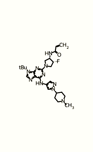 C=CC(=O)N[C@@H]1CN(c2nc(Nc3cnn(C4CCN(C)CC4)c3)c3ncn(C(C)(C)C)c3n2)C[C@H]1F